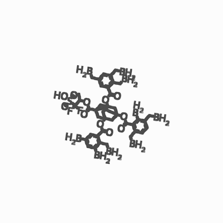 BCc1cc(CB)c(CB)c(C(=O)OC23CC4(OC(=O)c5cc(B)cc(B)c5CB)CC(OC(=O)c5c(CB)ccc(CB)c5B)(C2)CC(C(=O)OC(C)C(F)(F)S(=O)(=O)O)(C4)C3)c1